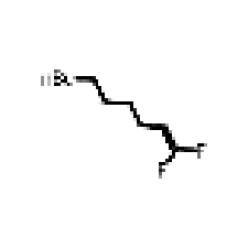 CCCCC[CH]CCC=C(F)F